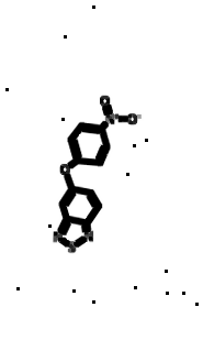 O=[N+]([O-])c1ccc(Oc2ccc3nsnc3c2)cc1